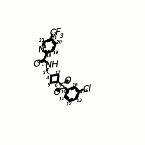 O=C(NC[C@H]1C[C@H](S(=O)(=O)c2cccc(Cl)c2)C1)c1ccc(C(F)(F)F)cn1